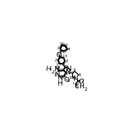 C=CC(=O)N1CCC(n2nc(-c3ccc(Oc4ccccc4)cc3)c3c(N)n[nH]c(=O)c32)C1